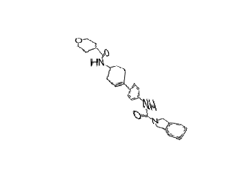 O=C(NC1CC=C(c2ccc(NC(=O)N3Cc4ccccc4C3)cc2)CC1)C1CCOCC1